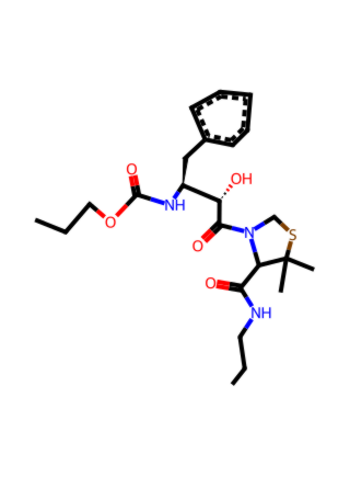 CCCNC(=O)C1N(C(=O)[C@@H](O)[C@H](Cc2ccccc2)NC(=O)OCCC)CSC1(C)C